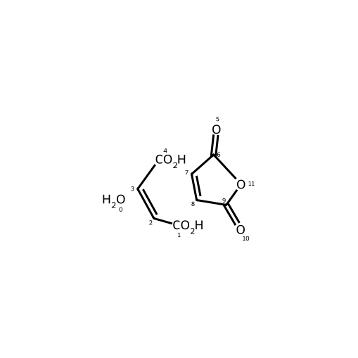 O.O=C(O)/C=C\C(=O)O.O=C1C=CC(=O)O1